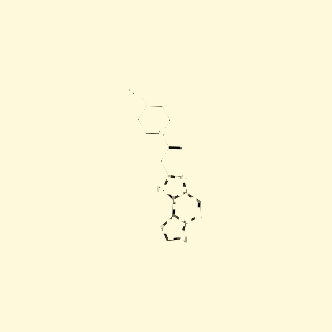 N#CC1CCN(C(=O)Cc2nc3cnc4[nH]ccc4c3[nH]2)CC1